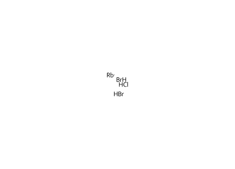 Br.Br.Cl.[Rb]